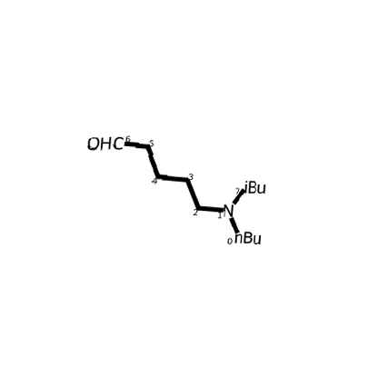 CCCCN(CCCCC=O)C(C)CC